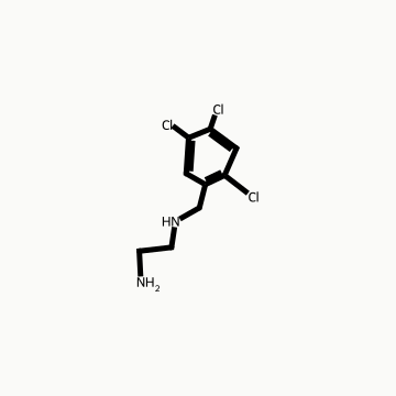 NCCNCc1cc(Cl)c(Cl)cc1Cl